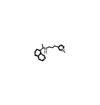 CC(NCCCc1ccn(C)c1)c1cccc2ccccc12